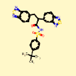 CC(C)(C)c1ccc(S(=O)(=O)NC(=O)C(Cc2ccc3nsnc3c2)c2ccc3nsnc3c2)cc1